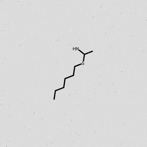 CCCCCCSC(C)[NH]